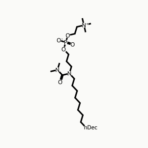 CCCCCCCCCCCCCCCCCCN(CCCOP(=O)([O-])OCC[N+](C)(C)C)C(=O)N(C)C